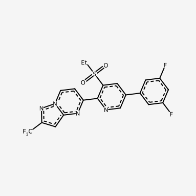 CCS(=O)(=O)c1cc(-c2cc(F)cc(F)c2)cnc1-c1ccn2nc(C(F)(F)F)cc2n1